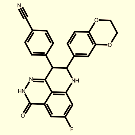 N#Cc1ccc(C2c3n[nH]c(=O)c4cc(F)cc(c34)NC2c2ccc3c(c2)OCCO3)cc1